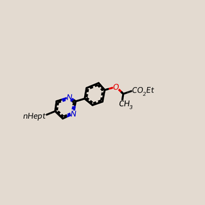 CCCCCCCc1cnc(-c2ccc(OC(C)C(=O)OCC)cc2)nc1